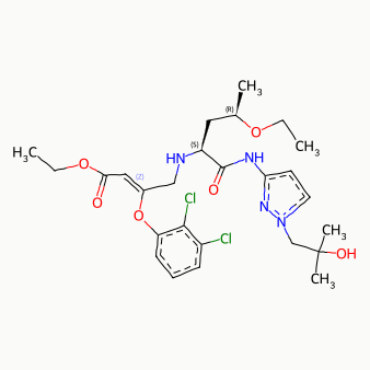 CCOC(=O)/C=C(/CN[C@@H](C[C@@H](C)OCC)C(=O)Nc1ccn(CC(C)(C)O)n1)Oc1cccc(Cl)c1Cl